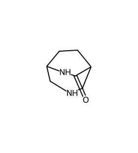 O=C1NC2CCC1CNC2